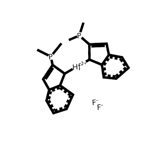 CP(C)C1=Cc2ccccc2[CH]1[Hf+2][CH]1C(P(C)C)=Cc2ccccc21.[F-].[F-]